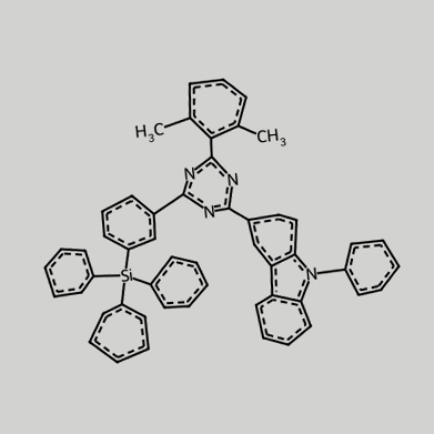 Cc1cccc(C)c1-c1nc(-c2cccc([Si](c3ccccc3)(c3ccccc3)c3ccccc3)c2)nc(-c2ccc3c(c2)c2ccccc2n3-c2ccccc2)n1